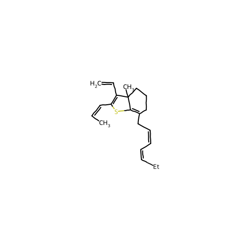 C=CC1=C(/C=C\C)SC2=C(C/C=C\C=C/CC)CCCC12C